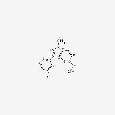 Cn1nc(-c2cccc(F)c2)c2cc(CCl)ccc21